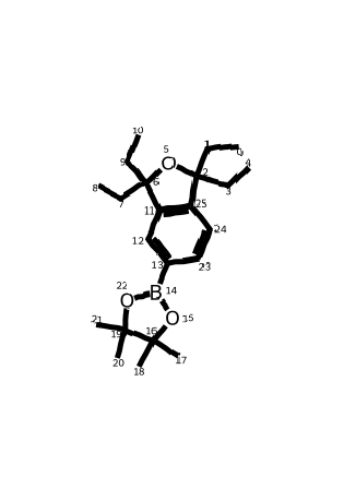 CCC1(CC)OC(CC)(CC)c2cc(B3OC(C)(C)C(C)(C)O3)ccc21